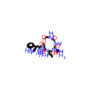 CC[C@H](C)[C@@H]1NC(=O)[C@@H](NC(=O)[C@@H](N)Cc2c[nH]c3ccccc23)[C@@H](C)OC(=O)CNC(=O)CNC(=O)[C@H](CC(N)=O)NC1=O